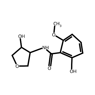 COc1cccc(O)c1C(=O)NC1COCC1O